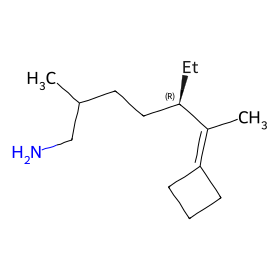 CC[C@H](CCC(C)CN)C(C)=C1CCC1